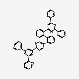 c1ccc(-c2cc(-c3ccccn3)nc(-c3ccc(-c4ccccc4-c4ccccc4-c4cc(-c5ccccc5)nc(-c5ccccc5)n4)cn3)c2)cc1